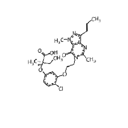 CCCc1nn(C)c2c(=O)n(CCOc3cc(O[C@](C)(CC)C(=O)O)ccc3Cl)c(C)nc12